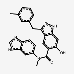 Cc1cccc(Cc2n[nH]c3cc(O)c(C(=O)N(C)c4ccc5nc[nH]c5c4)cc23)c1